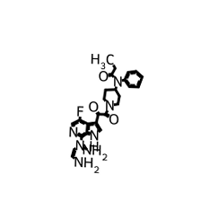 CCC(=O)N(c1ccccc1)C1CCN(C(=O)C(=O)c2c[nH]c3c(N(N)/C=C\N)ncc(F)c23)CC1